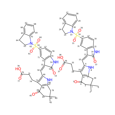 CC1(C)CC(=O)c2c([nH]c(/C=C3\C(=O)Nc4ccc(S(=O)(=O)N5CCc6ccccc65)cc43)c2CCC(=O)O)C1.CC1(C)CC(=O)c2c([nH]c(C=C3C(=O)Nc4ccc(S(=O)(=O)N5CCc6ccccc65)cc43)c2CCC(=O)O)C1